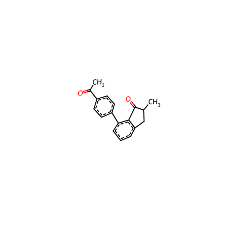 CC(=O)c1ccc(-c2cccc3c2C(=O)C(C)C3)cc1